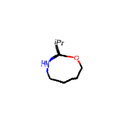 CC(C)C1NCCCCO1